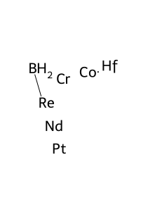 [BH2][Re].[Co].[Cr].[Hf].[Nd].[Pt]